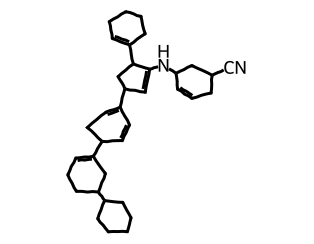 N#CC1CC=CC(NC2=CC(C3=CCC(C4=CCCC(C5CCCCC5)C4)C=C3)CC2C2=CCCCC2)C1